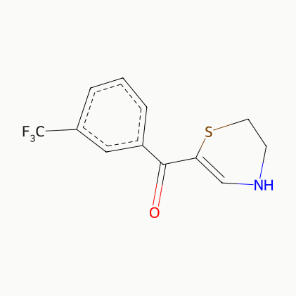 O=C(C1=CNCCS1)c1cccc(C(F)(F)F)c1